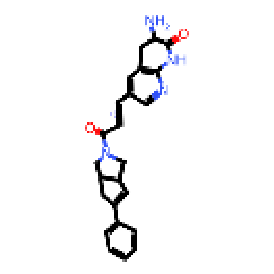 NC1Cc2cc(/C=C/C(=O)N3CC4C=C(c5ccccc5)CC4C3)cnc2NC1=O